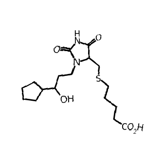 O=C(O)CCCCSCC1C(=O)NC(=O)N1CCC(O)C1CCCC1